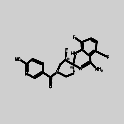 N#Cc1ccc(C(=O)N2CC[C@]3(N=C(N)c4c(F)ccc(F)c4N3)[C@H](F)C2)cn1